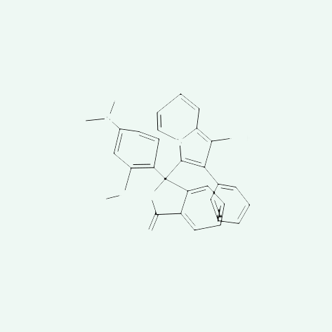 CCOC(=O)c1c(-c2ccccc2)c(C2(c3ccc(N(CC)CC)cc3OCC)OC(=O)c3ccccc32)n2ccccc12